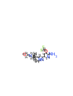 CC(C)n1nc(-c2cnc(N)c(OC(F)F)c2)cc1C1[C@H]2CN(C3COC3)C[C@@H]12